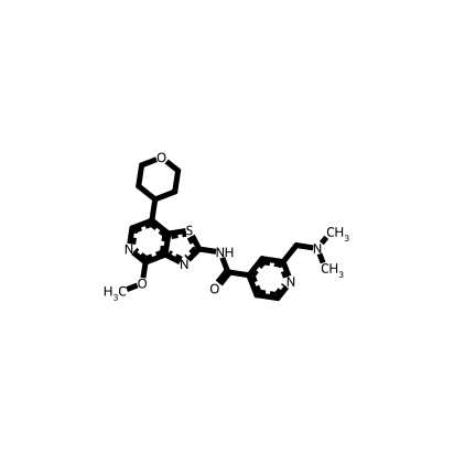 COc1ncc(C2CCOCC2)c2sc(NC(=O)c3ccnc(CN(C)C)c3)nc12